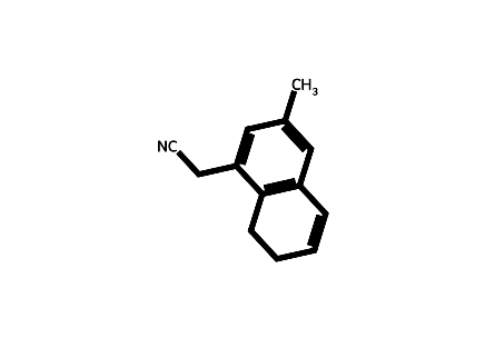 Cc1cc2c(c(CC#N)c1)CCC=C2